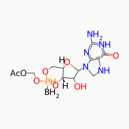 B[PH]1(OCOC(C)=O)OC[C@H]2OC(N3CNc4c3nc(N)[nH]c4=O)C(O)[C@@H]2O1